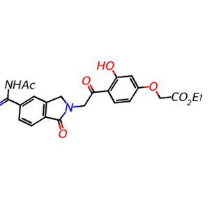 CCOC(=O)COc1ccc(C(=O)CN2Cc3cc(C(=N)NC(C)=O)ccc3C2=O)c(O)c1